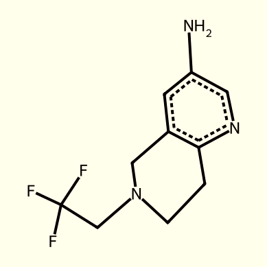 Nc1cnc2c(c1)CN(CC(F)(F)F)CC2